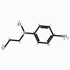 CCN(CCCl)c1ccc(N)cc1